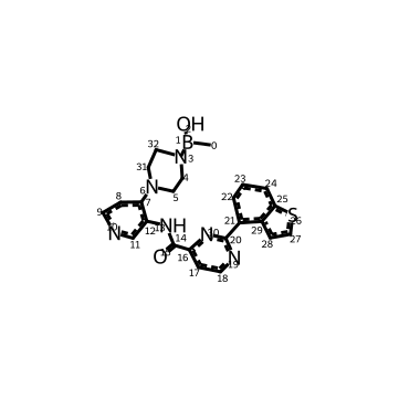 CB(O)N1CCN(c2ccncc2NC(=O)c2ccnc(-c3cccc4sccc34)n2)CC1